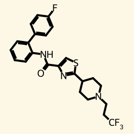 O=C(Nc1ccccc1-c1ccc(F)cc1)c1csc(C2CCN(CCC(F)(F)F)CC2)n1